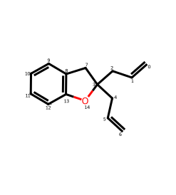 C=CCC1(CC=C)Cc2ccc[c]c2O1